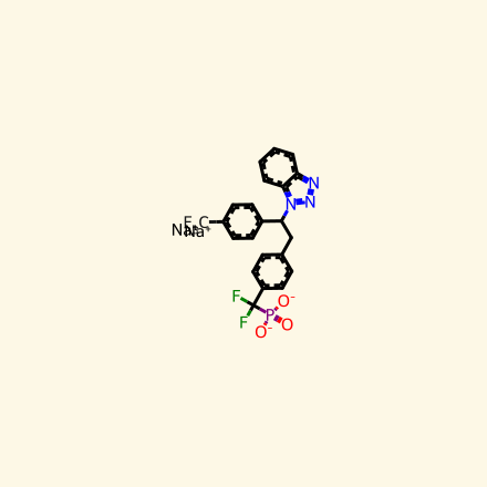 O=P([O-])([O-])C(F)(F)c1ccc(CC(c2ccc(C(F)(F)F)cc2)n2nnc3ccccc32)cc1.[Na+].[Na+]